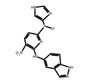 CCN(c1c[nH]cn1)c1ccc([N+](=O)[O-])c(Nc2ccc3[nH]ncc3c2)n1